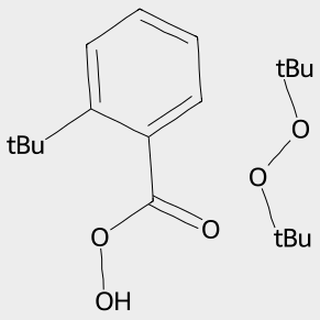 CC(C)(C)OOC(C)(C)C.CC(C)(C)c1ccccc1C(=O)OO